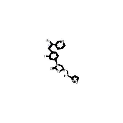 O=C1O[C@@H](CNc2ccon2)CN1c1ccc(/C=C(/Br)c2cccnc2)c(F)c1